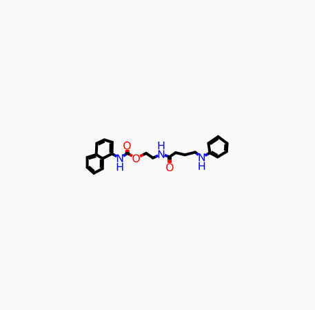 O=C(CCCNc1ccccc1)NCCOC(=O)Nc1cccc2ccccc12